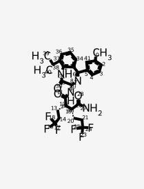 Cc1cccc(C2=N[C@H](NC(=O)[C@@H](CCC(F)(F)F)[C@@H](CCC(F)(F)F)C(N)=O)C(=O)Nc3c2cccc3C(C)C)c1